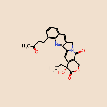 CC[C@@]1(O)C(=O)OCc2c1cc1n(c2=O)Cc2cc3cccc(CCC(C)=O)c3nc2-1